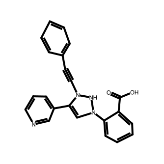 O=C(O)c1ccccc1N1C=C(c2cccnc2)N(C#Cc2ccccc2)N1